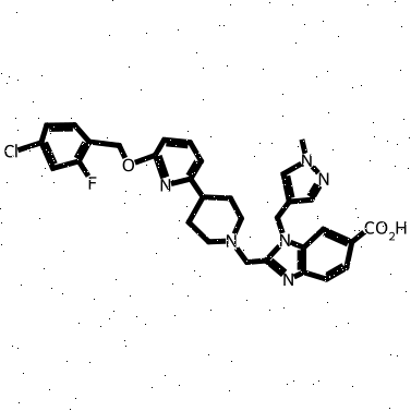 Cn1cc(Cn2c(CN3CCC(c4cccc(OCc5ccc(Cl)cc5F)n4)CC3)nc3ccc(C(=O)O)cc32)cn1